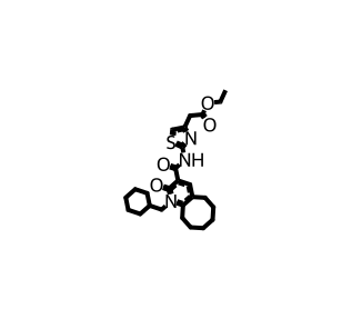 CCOC(=O)Cc1csc(NC(=O)c2cc3c(n(CC4CCCCC4)c2=O)CCCCCC3)n1